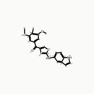 COc1cc(C(=O)c2csc(Nc3ccc4[nH]ccc4c3)n2)cc(OC)c1C